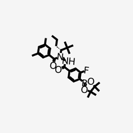 CCC[C@@H](N(NC(=O)c1ccc(B2OC(C)(C)C(C)(C)O2)c(F)c1)C(=O)c1cc(C)cc(C)c1)C(C)(C)C